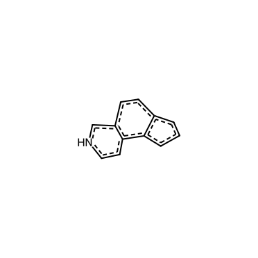 c1cc2ccc3c[nH]ccc3c2c1